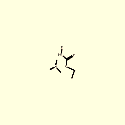 CCOC(=O)BF.CN(C)C